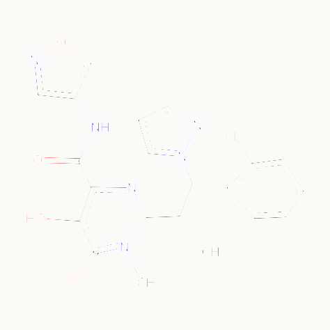 C[C@H](c1nc(C(=O)Nc2cnoc2)c(O)c(=O)n1C)[C@@H](c1ccccc1Cl)n1cccn1